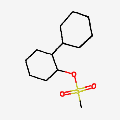 CS(=O)(=O)OC1CCCCC1C1CCCCC1